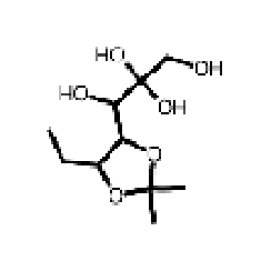 CCC1OC(C)(C)OC1C(O)C(O)(O)CO